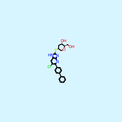 OC[C@H]1OC[C@@H](Sc2nc3nc(-c4ccc(-c5ccccc5)cc4)c(Cl)cc3[nH]2)C[C@@H]1O